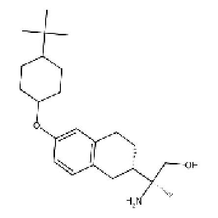 CC(C)(C)C1CCC(Oc2ccc3c(c2)CC[C@H]([C@](C)(N)CO)C3)CC1